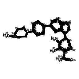 Cc1c(-c2c[nH]c3ncc(-c4ccc(N5CCN(C)CC5)cc4)cc23)cnc(C(N)=O)c1C